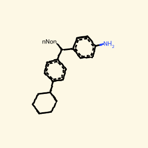 CCCCCCCCCC(c1ccc(N)cc1)c1ccc(C2CCCCC2)cc1